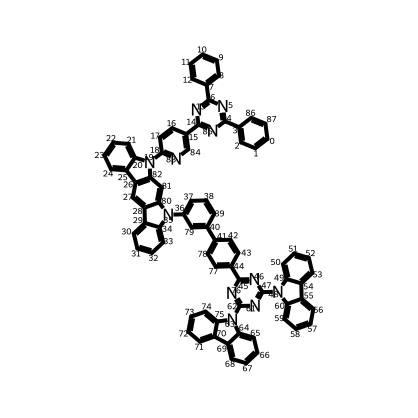 c1ccc(-c2nc(-c3ccccc3)nc(-c3ccc(-n4c5ccccc5c5cc6c7ccccc7n(-c7cccc(-c8ccc(-c9nc(-n%10c%11ccccc%11c%11ccccc%11%10)nc(-n%10c%11ccccc%11c%11ccccc%11%10)n9)cc8)c7)c6cc54)nc3)n2)cc1